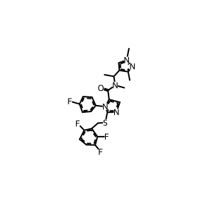 Cc1nn(C)cc1C(C)N(C)C(=O)c1cnc(SCc2c(F)ccc(F)c2F)n1-c1ccc(F)cc1